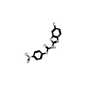 O=C(Nc1nc2ccc(F)cc2s1)Oc1ccc([N+](=O)[O-])cc1